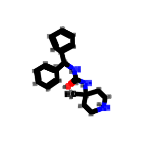 CC1(NC(=O)NC(c2ccccc2)c2ccccc2)CCNCC1